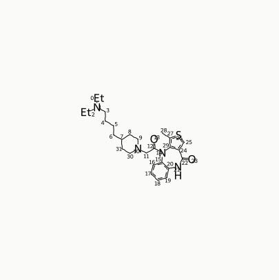 CCN(CC)CCCCC1CCN(CC(=O)N2c3ccccc3NC(=O)c3csc(C)c32)CC1